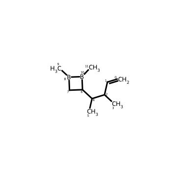 C=CC(C)C(C)C1CB(C)B1C